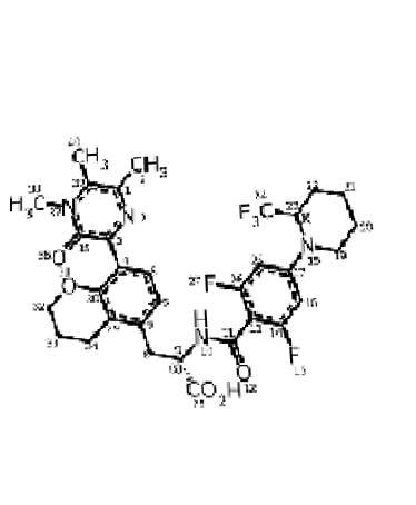 Cc1nc(-c2ccc(C[C@H](NC(=O)c3c(F)cc(N4CCCC[C@@H]4C(F)(F)F)cc3F)C(=O)O)c3c2OCCC3)c(=O)n(C)c1C